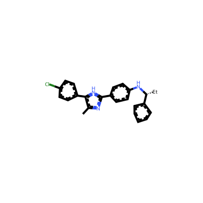 CC[C@@H](Nc1ccc(-c2nc(C)c(-c3ccc(Cl)cc3)[nH]2)cc1)c1ccccc1